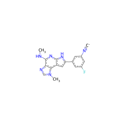 [C-]#[N+]c1cc(F)cc(-c2cc3c(nc(NC)c4ncn(C)c43)[nH]2)c1